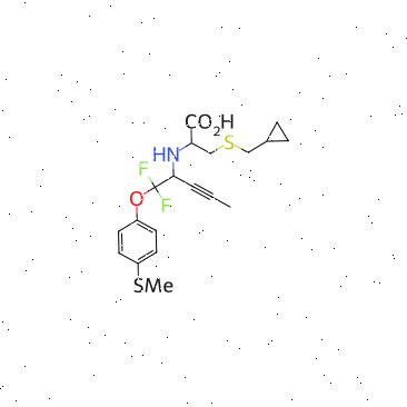 CC#CC(NC(CSCC1CC1)C(=O)O)C(F)(F)Oc1ccc(SC)cc1